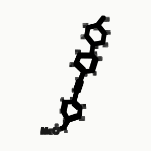 COCc1ccc(C#Cc2ccc(C3CCC(C)CC3)cc2)cc1